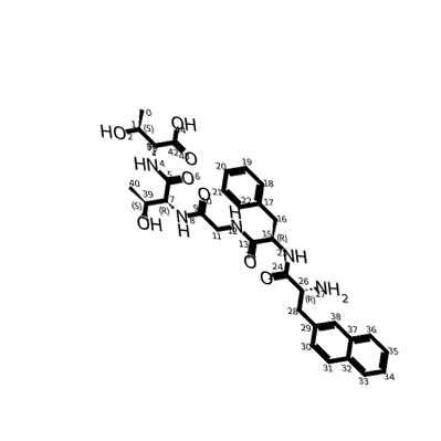 C[C@H](O)[C@@H](NC(=O)[C@H](NC(=O)CNC(=O)[C@@H](Cc1ccccc1)NC(=O)[C@H](N)Cc1ccc2ccccc2c1)[C@H](C)O)C(=O)O